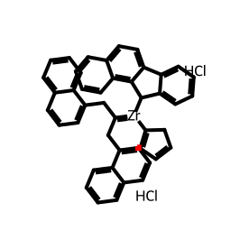 C1=CC[C]([Zr](=[C](Cc2cccc3ccccc23)Cc2cccc3ccccc23)[CH]2c3ccccc3-c3ccc4ccccc4c32)=C1.Cl.Cl